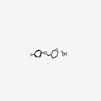 OC[C@@H]1CCC(COc2ccc(F)cc2)CO1